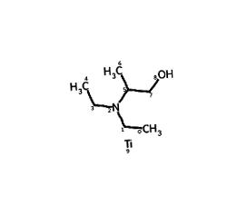 CCN(CC)C(C)CO.[Ti]